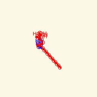 COCCOCCOCCOCCOCCOCCOCCOCCOCCOCCOCCOCCn1cc([C@H](CC(=O)N[C@H](C(=O)N[C@@H](C)C(=O)Nc2ccc(COC(=O)C(C)(C)C)c(CC[C@@H]3O[C@H](C(=O)O)[C@@H](O)[C@H](O)[C@H]3O)c2)C(C)C)N2C(=O)C=CC2=O)nn1